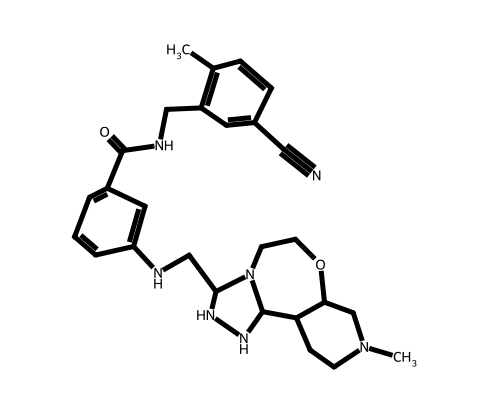 Cc1ccc(C#N)cc1CNC(=O)c1cccc(NCC2NNC3C4CCN(C)CC4OCCN23)c1